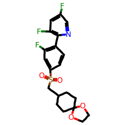 O=S(=O)(CC1CCC2(CC1)OCCO2)c1ccc(-c2ncc(F)cc2F)c(F)c1